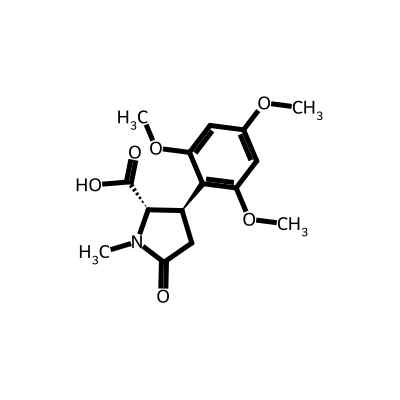 COc1cc(OC)c([C@H]2CC(=O)N(C)[C@@H]2C(=O)O)c(OC)c1